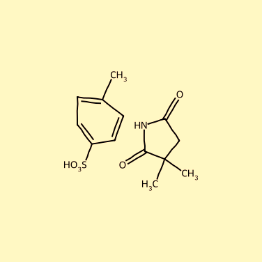 CC1(C)CC(=O)NC1=O.Cc1ccc(S(=O)(=O)O)cc1